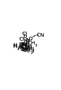 BC1(B)N(NC(=O)c2nc(-c3ccc(Cl)cc3Cl)n(-c3ccc(C#CCCC#N)cc3)c2C)C(B)(B)C(B)(B)S(=O)(=O)C1(B)B